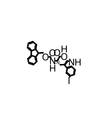 O=C(N[C@@H](Cc1c[nH]c2ccc(I)cc12)C(=O)O)OCC1c2ccccc2-c2ccccc21